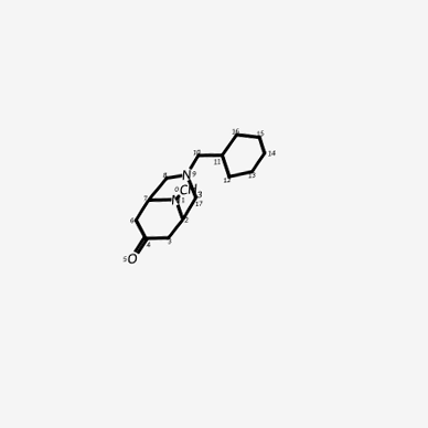 CN1C2CC(=O)CC1CN(CC1CCCCC1)C2